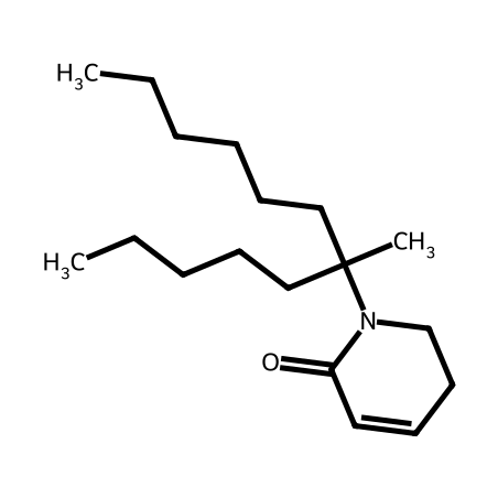 CCCCCCC(C)(CCCCC)N1CCC=CC1=O